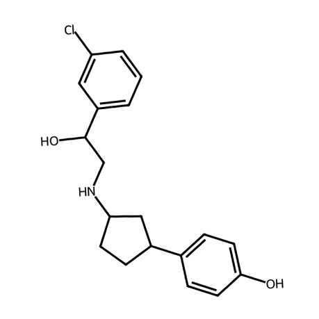 Oc1ccc(C2CCC(NCC(O)c3cccc(Cl)c3)C2)cc1